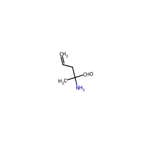 [CH2]C(N)(C=O)CC=C